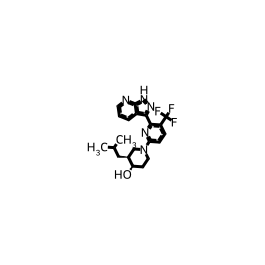 CC(C)C[C@H]1CN(c2ccc(C(F)(F)F)c(-c3n[nH]c4ncccc34)n2)CC[C@H]1O